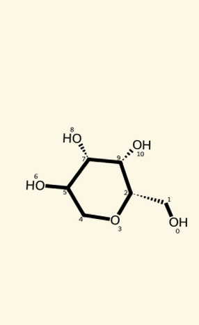 OC[C@@H]1OC[C](O)[C@H](O)[C@@H]1O